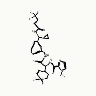 Cn1ccnc1C(=O)N[C@H](C(=O)Nc1cc(C(NC(=O)CCC(F)(F)F)C2CC2)ccn1)C1CCC(F)(F)CC1